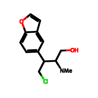 CNC(CO)C(CCl)c1ccc2occc2c1